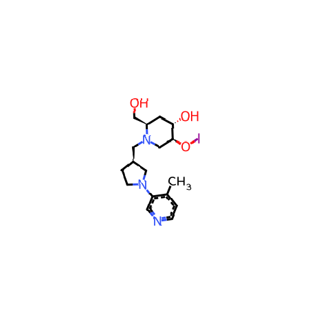 Cc1ccncc1N1CC[C@@H](CN2C[C@H](OI)[C@@H](O)C[C@@H]2CO)C1